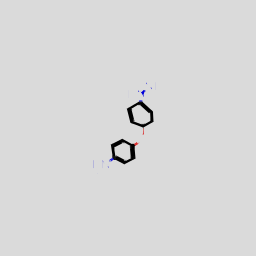 NNC1=CC[C@@H](Oc2ccc(N)cc2)C=C1